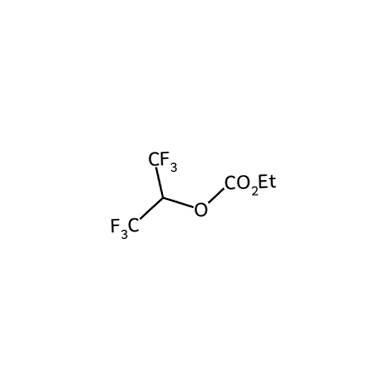 CCOC(=O)OC(C(F)(F)F)C(F)(F)F